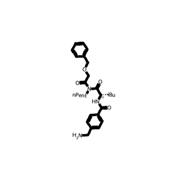 CCCCCN(C(=O)COCc1ccccc1)C(=O)[C@@H](NC(=O)c1ccc(CN)cc1)C(C)CC